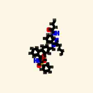 CCCCc1nc2c(NC(=O)CCC)cccc2n1Cc1ccc(-c2ccccc2C(=O)NS(=O)(=O)c2ccccc2)cc1